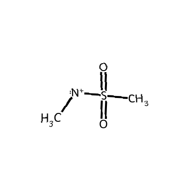 C[N+]S(C)(=O)=O